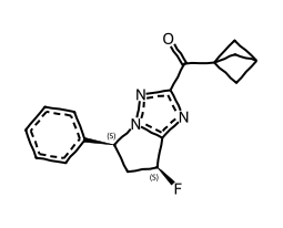 O=C(c1nc2n(n1)[C@H](c1ccccc1)C[C@@H]2F)C12CC(C1)C2